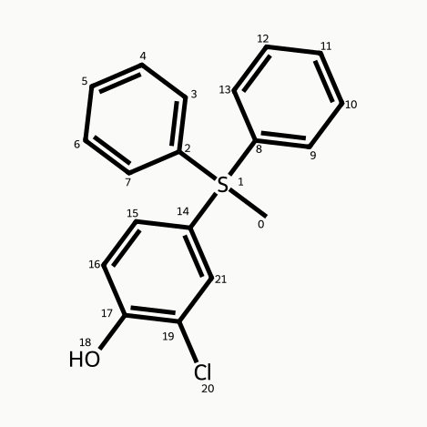 CS(c1ccccc1)(c1ccccc1)c1ccc(O)c(Cl)c1